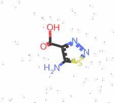 Nc1snnc1C(=O)O